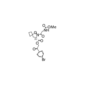 COC(=O)NCC(=O)N1OC2(CCC2)C[C@H]1C(=O)OCC(=O)c1ccc(Br)cc1